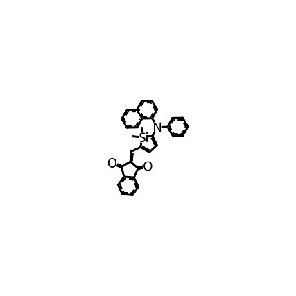 C[Si]1(C)C(C=C2C(=O)c3ccccc3C2=O)=CC=C1N(c1ccccc1)c1cccc2ccccc12